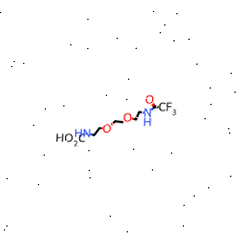 O=C(O)NCCOCCOCCNC(=O)C(F)(F)F